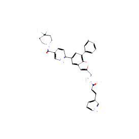 O=C(C=Cc1cccnc1)NCc1cc2cc(-c3ccc(C(=O)N4CCC(F)(F)CC4)cn3)cc(-c3cccc(F)c3)c2o1